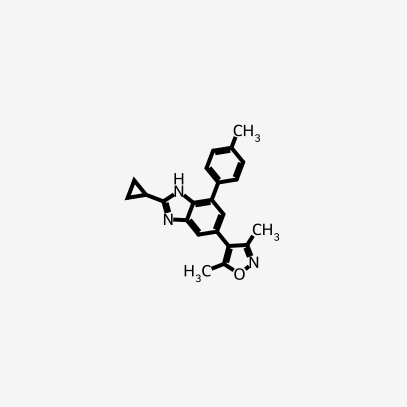 Cc1ccc(-c2cc(-c3c(C)noc3C)cc3nc(C4CC4)[nH]c23)cc1